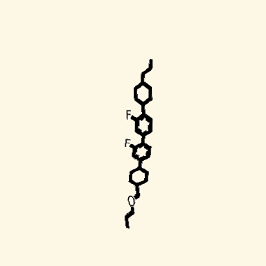 CCCOCC1CCC(c2ccc(-c3ccc(C4CCC(CCC)CC4)c(F)c3)c(F)c2)CC1